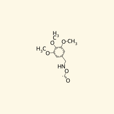 COc1cc(CNO[C]=O)cc(OC)c1OC